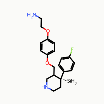 NCCOc1ccc(OCC2CNCC[C@]2([SiH3])c2ccc(F)cc2)cc1